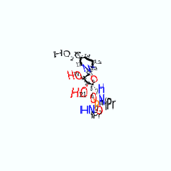 CC(C)NP(=O)(NC(C)C)OC[C@H]1O[C@@H]([n+]2cccc(C(=O)O)c2)[C@H](O)[C@@H]1O